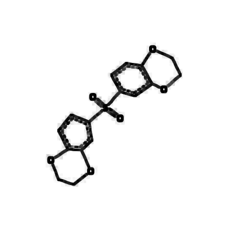 O=S(=O)(c1ccc2c(c1)OCCO2)c1ccc2c(c1)OCCO2